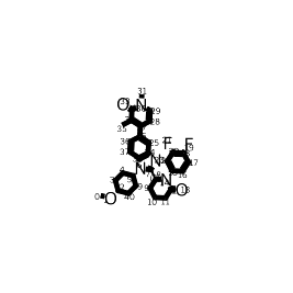 CO[C@H]1CC[C@H](n2c([C@@H]3CCCC(=O)N3c3ccc(F)c(F)c3)nc3cc(-c4ccn(C)c(=O)c4C)ccc32)CC1